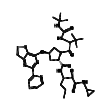 CCCC(NC(=O)[C@@H]1C[C@@H](Oc2nc(-c3ccccn3)nc3ccsc23)CN1C(=O)C(NC(=O)NC(C)(C)C)C(C)(C)C)C(=O)C(=O)NC1CC1